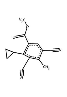 COC(=O)c1cc(C#N)c(C)c(C#N)c1C1CC1